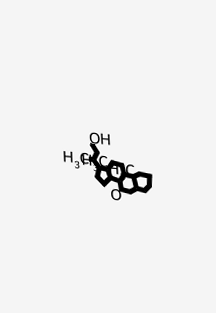 CC(CCO)C1CCC2C3C(=O)CC4CCCCC4(C)C3CCC12C